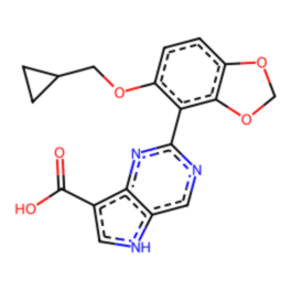 O=C(O)c1c[nH]c2cnc(-c3c(OCC4CC4)ccc4c3OCO4)nc12